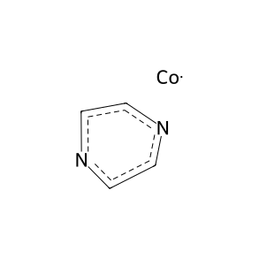 [Co].c1cnccn1